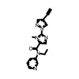 C#Cc1cnn(-c2ncc(C(=O)N(CC)c3cccnc3)n2C)c1